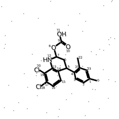 Cc1ccc(C2CC(OC(=O)O)Nc3c2ccc(Cl)c3Cl)c(C)c1